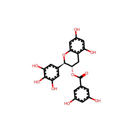 O=C(O[C@H]1Cc2c(O)cc(O)cc2O[C@@H]1c1cc(O)c(O)c(O)c1)c1cc(O)cc(O)c1